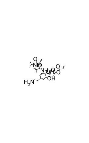 C=C(C)C(N)=O.C=CC(=O)NC(C)C.C=CC(=O)OC(C)OC.NCCc1ccc(O)c(O)c1